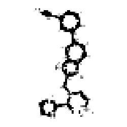 C=C(c1nccs1)N(/C=C\N)Cc1nc2ccc(-c3cccc(C#N)c3)cc2[nH]1